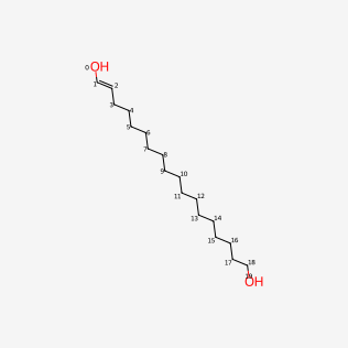 OC=CCCCCCCCCCCCCCCCCO